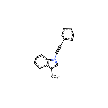 O=C(O)c1cn(C#Cc2ccccc2)c2ccccc12